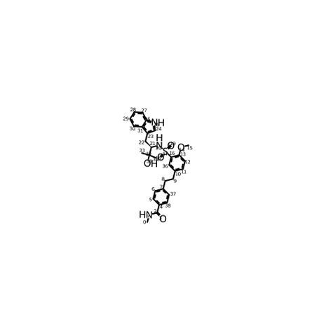 CNC(=O)c1ccc(CCc2ccc(OC)c(S(=O)(=O)N[C@H](Cc3c[nH]c4ccccc34)C(C)(C)O)c2)cc1